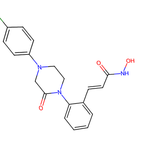 O=C(C=Cc1ccccc1N1CCN(c2ccc(F)cc2)CC1=O)NO